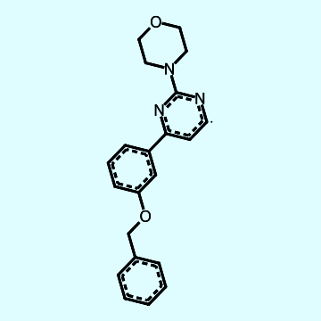 [c]1cc(-c2cccc(OCc3ccccc3)c2)nc(N2CCOCC2)n1